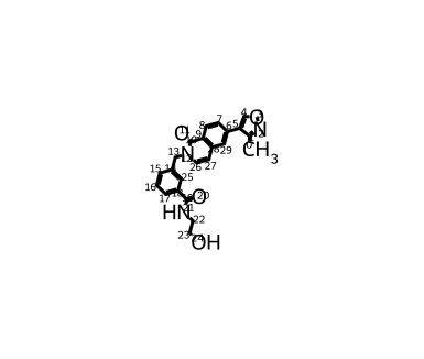 Cc1nocc1-c1ccc2c(=O)n(Cc3cccc(C(=O)NCCO)c3)ccc2c1